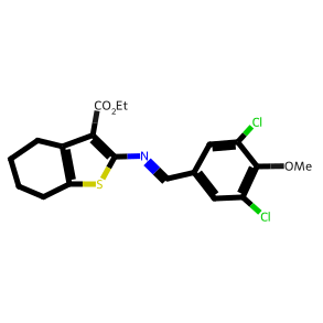 CCOC(=O)c1c(/N=C/c2cc(Cl)c(OC)c(Cl)c2)sc2c1CCCC2